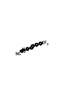 N#Cc1ccc2nc(-c3ccc(-c4ccc5cc(-c6ccc(-c7ccc(C(F)(F)F)cc7)cc6)ccc5c4)cc3)sc2c1